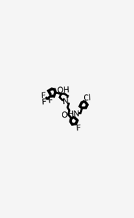 O=C(CCCN1CCC(O)(c2cccc(C(F)(F)F)c2)CC1)c1ccc(F)cc1NCc1ccc(Cl)cc1